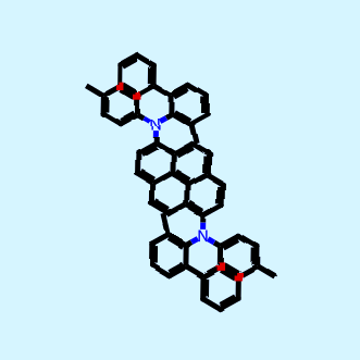 Cc1ccc(N(c2c(C)cccc2-c2ccccc2)c2ccc3ccc4c(N(c5ccc(C)cc5)c5c(C)cccc5-c5ccccc5)ccc5ccc2c3c54)cc1